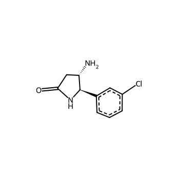 N[C@H]1CC(=O)N[C@@H]1c1cccc(Cl)c1